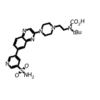 CC(C)(C)N(CCN1CCN(c2cnc3ccc(-c4cncc(S(N)(=O)=O)c4)cc3n2)CC1)C(=O)O